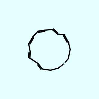 [C]1=C/C=C/C=C/C=C\C=C\C=C\CCCCC\1